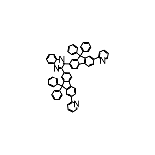 c1ccc(C2(c3ccccc3)c3cc(-c4ccccn4)ccc3-c3ccc(-c4nc5ccccc5nc4-c4ccc5c(c4)C(c4ccccc4)(c4ccccc4)c4cc(-c6ccccn6)ccc4-5)cc32)cc1